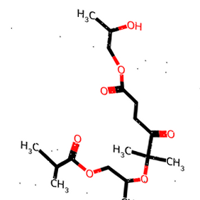 CC(O)COC(=O)CCC(=O)C(C)(C)OC(C)COC(=O)C(C)C